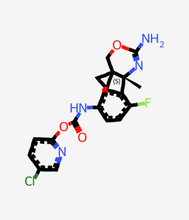 C[C@]1(c2cc(NC(=O)Oc3ccc(Cl)cn3)ccc2F)N=C(N)OCC12CC2